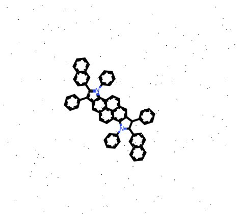 c1ccc(-c2c(-c3ccc4ccccc4c3)n(-c3ccccc3)c3c2cc2ccc4c5c(cc6ccc3c2c64)C(c2ccccc2)C(c2ccc3ccccc3c2)N5c2ccccc2)cc1